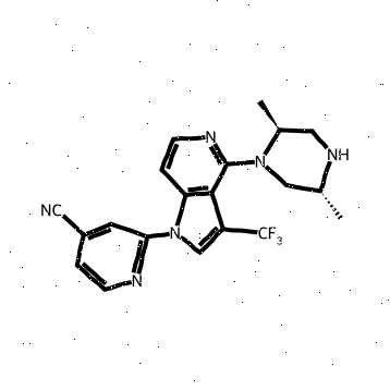 C[C@@H]1CN(c2nccc3c2c(C(F)(F)F)cn3-c2cc(C#N)ccn2)[C@@H](C)CN1